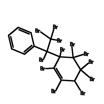 BrC1=C(Br)C(Br)(C(Br)(c2ccccc2)C(Br)(Br)Br)C(Br)(Br)C(Br)(Br)C1Br